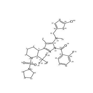 Cc1c(C2CCCN(S(=O)(=O)N3CCCC3)C2C(F)(F)F)nn(C(=O)c2ccccc2F)c1N(C)Cc1ccc(Cl)s1